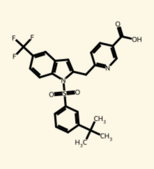 CC(C)(C)c1cccc(S(=O)(=O)n2c(Cc3ccc(C(=O)O)cn3)cc3cc(C(F)(F)F)ccc32)c1